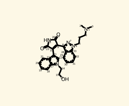 CN(C)CCCn1nc(C2=C(c3cn(CCO)c4ccccc34)C(=O)NC2=O)c2ccccc21